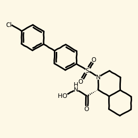 O=C(NO)[C@H]1C2CCCCC2CCN1S(=O)(=O)c1ccc(-c2ccc(Cl)cc2)cc1